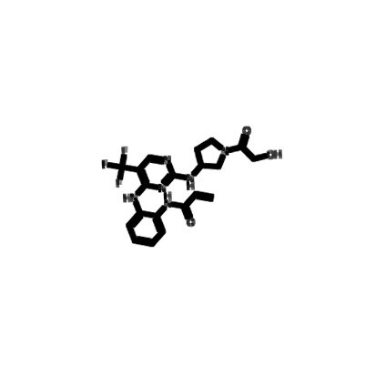 C=CC(=O)Nc1ccccc1Nc1nc(NC2CCN(C(=O)CO)C2)ncc1C(F)(F)F